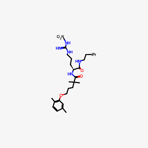 Cc1ccc(C)c(OCCCC(C)(C)C(=O)N[C@@H](CCCNC(=N)N[N+](=O)[O-])C(=O)NCCC(C)C)c1